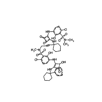 CN(C)S(=O)(=O)c1c(Cl)ccc(Nc2c(NC3(C#CCN(C)S(=O)(=O)c4c(Cl)ccc(NC5=C(NC6(c7ccccc7)CCCCC6)C(=O)C5O)c4O)CCCCC3)c(=O)c2=O)c1O